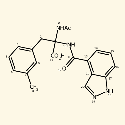 CC(=O)NC(Cc1cccc(C(F)(F)F)c1)(NC(=O)c1cccc2[nH]ncc12)C(=O)O